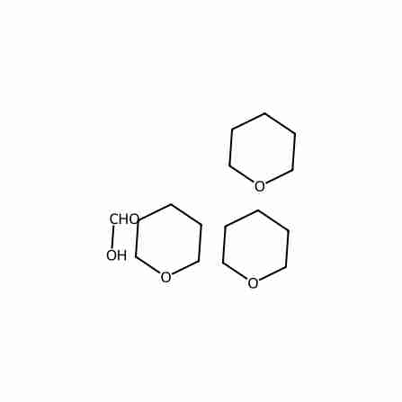 C1CCOCC1.C1CCOCC1.C1CCOCC1.O=CO